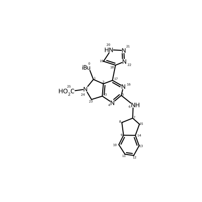 CCC(C)C1c2c(nc(NC3Cc4ccccc4C3)nc2-c2c[nH]nn2)CN1C(=O)O